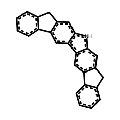 c1ccc2c(c1)Cc1cc3[nH]c4cc5c(cc4c3cc1-2)-c1ccccc1C5